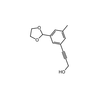 Cc1cc(C#CCO)cc(C2OCCO2)c1